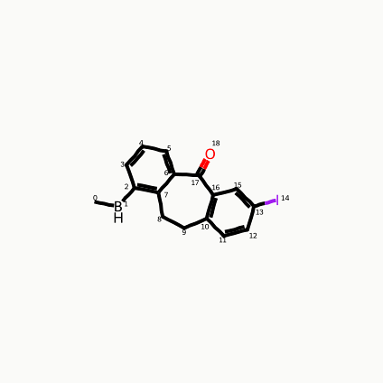 CBc1cccc2c1CCc1ccc(I)cc1C2=O